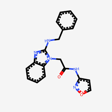 O=C(Cn1c(NCc2ccccc2)nc2ccccc21)Nc1ccon1